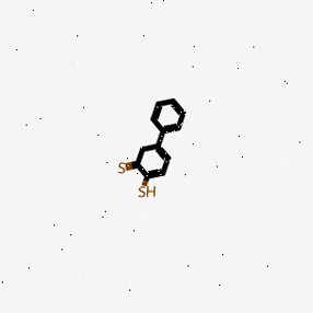 S=C1CC(c2ccccc2)=CC=C1S